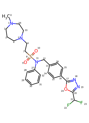 CN1CCCN(CCS(=O)(=O)N(Cc2ccc(-c3nnc(C(F)F)o3)cc2)c2ccccc2)CC1